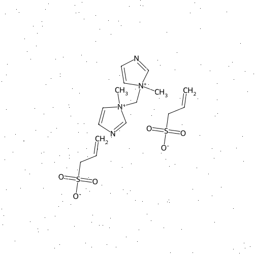 C=CCS(=O)(=O)[O-].C=CCS(=O)(=O)[O-].C[N+]1(C[N+]2(C)C=CN=C2)C=CN=C1